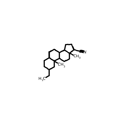 CCC1CCC2CCC3C4CCC(C#N)C4(C)CCC3C2(C)C1